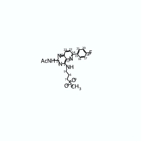 CC(=O)Nc1nc(NCCCS(C)(=O)=O)c2nc(-c3ccc(F)cc3)ccc2n1